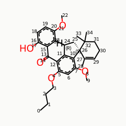 CCCCOc1cc(OC)c2c3c1C(=O)c1c(O)ccc(OC)c1[C@@H]3C[C@]21C(C)=CCCC1(C)C